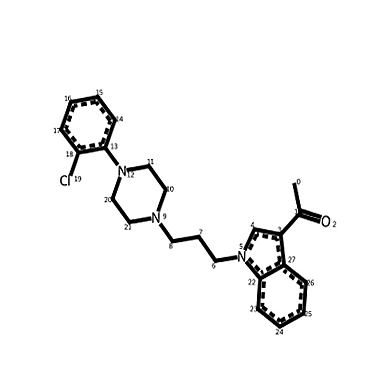 CC(=O)c1cn(CCCN2CCN(c3ccccc3Cl)CC2)c2ccccc12